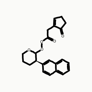 O=C(CC1=CCCC1=O)OOC1OCCC[C@@H]1c1ccc2ccccc2c1